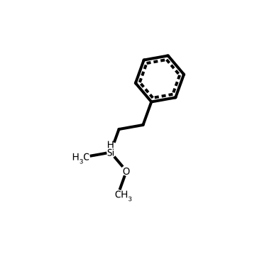 CO[SiH](C)CCc1ccccc1